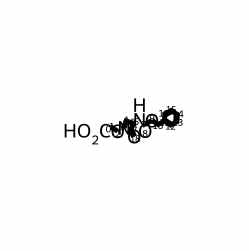 O=C(O)CON1CC(NC(=O)OCc2ccccc2)C1=O